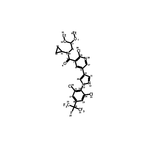 CCOC(CN(C(=O)c1cc(-c2cnn(-c3c(Cl)cc(C(F)(C(F)(F)F)C(F)(F)F)cc3Cl)c2)cnc1Cl)C1CC1)OCC